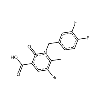 Cc1c(Br)cc(C(=O)O)c(=O)n1Cc1ccc(F)c(F)c1